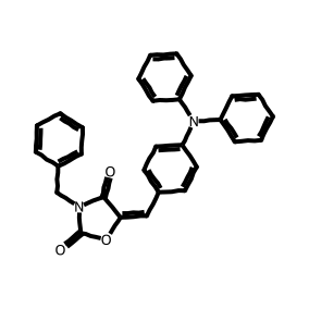 O=C1O/C(=C/c2ccc(N(c3ccccc3)c3ccccc3)cc2)C(=O)N1Cc1ccccc1